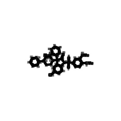 COc1ccc(S(=O)(=O)N2C(=O)C(c3cccnc3OC)(N3CCN(c4ccccn4)CC3)c3cc(Cl)ccc32)cc1OC